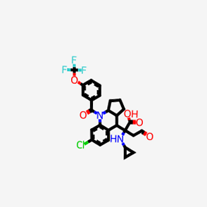 O=CCC(NC1CC1)(C(=O)O)C1c2ccc(Cl)cc2N(C(=O)c2cccc(OC(F)(F)F)c2)C2CCCC21